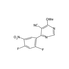 COc1ncnc(-c2cc([N+](=O)[O-])c(F)cc2F)c1C#N